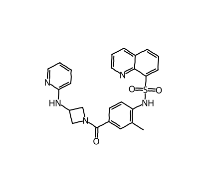 Cc1cc(C(=O)N2CC(Nc3ccccn3)C2)ccc1NS(=O)(=O)c1cccc2cccnc12